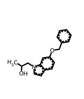 CC(O)Cn1ccc2ccc(OCc3ccccc3)cc21